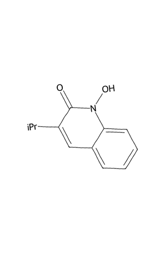 CC(C)c1cc2ccccc2n(O)c1=O